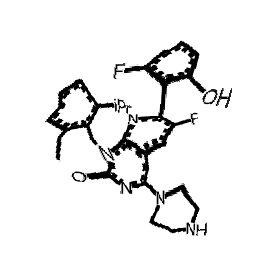 Cc1cccc(C(C)C)c1-n1c(=O)nc(N2CCNCC2)c2cc(F)c(-c3c(O)cccc3F)nc21